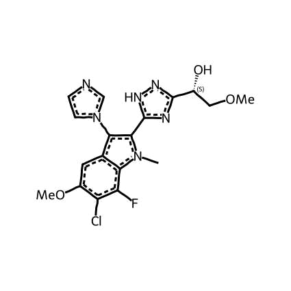 COC[C@@H](O)c1n[nH]c(-c2c(-n3ccnc3)c3cc(OC)c(Cl)c(F)c3n2C)n1